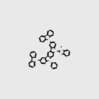 Cn1c(-n2c3ccc(-n4c5ccccc5c5ccccc54)cc3c3cc4c5cc(-n6c7ccccc7c7ccccc76)ccc5n(-c5ccccc5)c4cc32)nc2ccccc21